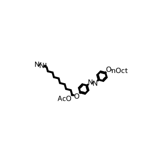 CCCCCCCCOc1ccc(N=Nc2ccc(OC(CCCCCCCCC=[N+]=[N-])OC(C)=O)cc2)cc1